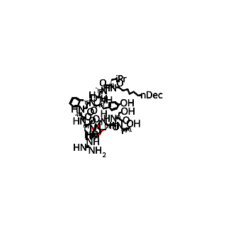 CCCCCCCCCCCCCCCC(=O)N[C@@H](CC(C)C)C(=O)N[C@@H](C)C(=O)N[C@@H](Cc1ccc(O)cc1)C(=O)N[C@@H](Cc1ccccc1)C(=O)N[C@@H](C)C(=O)N[C@@H](CCCNC(=N)N)C(=O)N[C@@H](CC(C)C)C(=O)N[C@@H](Cc1c[nH]cn1)C(=O)N[C@@H](CO)C(=O)N[C@H](C)[C@@H](C)O